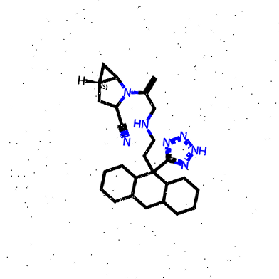 C=C(CNCCC1(c2nn[nH]n2)C2CCCCC2CC2CCCCC21)N1C(C#N)C[C@@H]2CC21